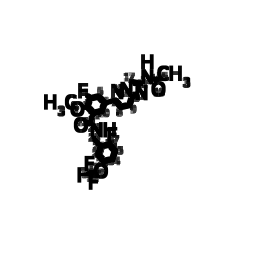 COc1c(F)cc(-c2ccc3nc(NC(C)=O)cn3n2)cc1C(=O)NCc1cc(OC(F)(F)F)ccc1F